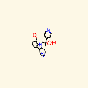 CN1C2CCC1c1c(n(CC(C)(O)c3ccncc3)c3c(C=O)cccc13)C2